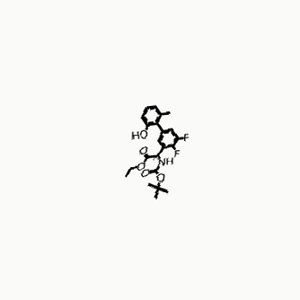 CCOC(=O)[C@H](NC(=O)OC(C)(C)C)c1cc(-c2c(C)cccc2O)cc(F)c1F